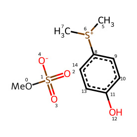 COS(=O)(=O)[O-].C[S+](C)c1ccc(O)cc1